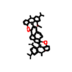 CC(C)c1cc(C(C)C)c(B2c3ccccc3Oc3c2cc2ccc4c5c(cc6ccc3c2c64)B(c2c(C(C)C)cc(C(C)C)cc2C(C)C)c2ccccc2O5)c(C(C)C)c1